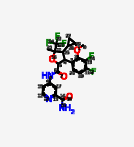 COc1c(C2C(C(=O)Nc3ccnc(C(N)=O)c3)OC(C)(C(F)(F)F)C2C2CC2)ccc(F)c1F